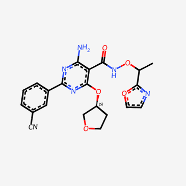 CC(ONC(=O)c1c(N)nc(-c2cccc(C#N)c2)nc1O[C@H]1CCOC1)c1ncco1